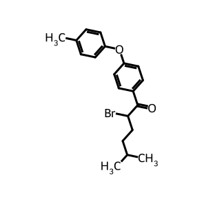 Cc1ccc(Oc2ccc(C(=O)C(Br)CCC(C)C)cc2)cc1